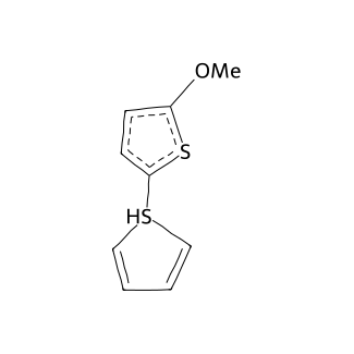 COc1ccc([SH]2C=CC=C2)s1